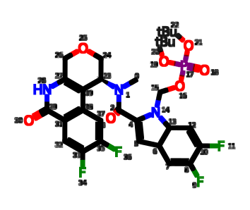 CN(C(=O)C1=CC2C=C(F)C(F)=CC2N1COP(=O)(OC(C)(C)C)OC(C)(C)C)[C@@H]1COCc2[nH]c(=O)c3cc(F)c(F)cc3c21